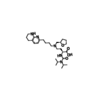 CC(C)N(C(=O)N[C@@H](CCN(CCCCc1ccc2c(n1)NCCC2)C[C@H]1CCCO1)C(=O)O)C(C)C